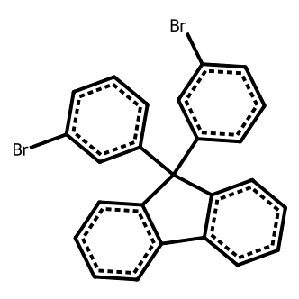 Brc1cccc(C2(c3cccc(Br)c3)c3ccccc3-c3ccccc32)c1